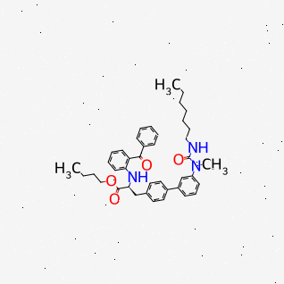 CCCCCCCNC(=O)N(C)c1cccc(-c2ccc(C[C@H](Nc3ccccc3C(=O)c3ccccc3)C(=O)OCCCC)cc2)c1